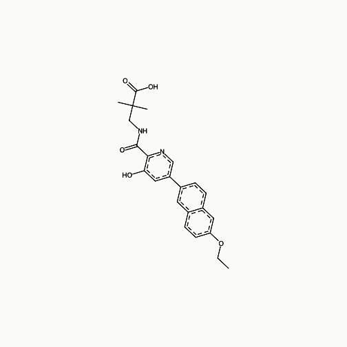 CCOc1ccc2cc(-c3cnc(C(=O)NCC(C)(C)C(=O)O)c(O)c3)ccc2c1